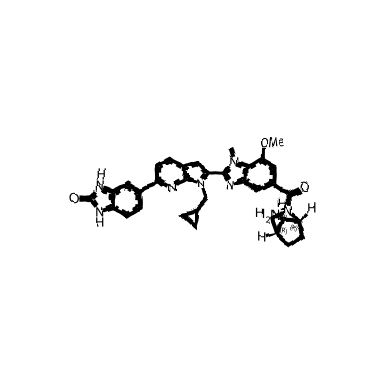 COc1cc(C(=O)N2C[C@H]3CC[C@@H]2[C@@H]3N)cc2nc(-c3cc4ccc(-c5ccc6[nH]c(=O)[nH]c6c5)nc4n3CC3CC3)n(C)c12